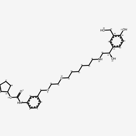 O=C(Nc1cccc(COCCOCCCCCCNC[C@H](O)c2ccc(O)c(CO)c2)c1)OC1CCCC1